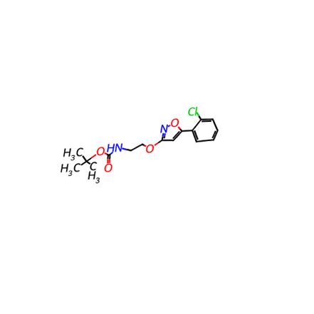 CC(C)(C)OC(=O)NCCOc1cc(-c2ccccc2Cl)on1